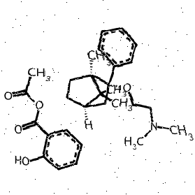 CC(=O)OC(=O)c1ccccc1O.CN(C)CCO[C@]1(c2ccccc2)C[C@H]2CC[C@]1(C)C2(C)C